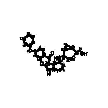 O=C(c1ccc(Oc2ccccc2)cc1Cl)c1c[nH]c2ncnc(N[C@@H]3COC(CO)C4CC43)c12